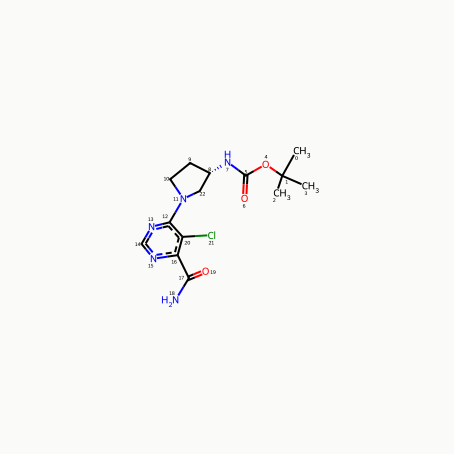 CC(C)(C)OC(=O)N[C@H]1CCN(c2ncnc(C(N)=O)c2Cl)C1